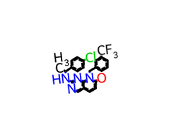 CC(Nc1ncc2ccc(=O)n(Cc3cccc(C(F)(F)F)c3)c2n1)c1ccc(Cl)cc1